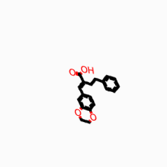 O=C(O)/C(=C/c1ccc2c(c1)OCCO2)CCc1ccccc1